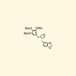 COc1cc(C[C@H]2COC[C@@H]2Cc2ccc3c(c2)OCO3)cc(OC)c1OC